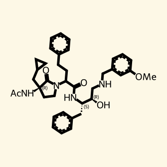 COc1cccc(CNC[C@@H](O)[C@H](Cc2ccccc2)NC(=O)C(CCc2ccccc2)N2CC[C@@](CC3CC3)(NC(C)=O)C2=O)c1